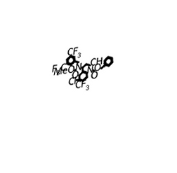 COC(=O)N(Cc1cc(C(F)(F)F)cc(C(F)(F)F)c1)C1CC(C)N(C(=O)OCc2ccccc2)C2=C1CC(Cl)(C(F)(F)F)C=C2